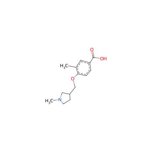 Cc1cc(C(=O)O)ccc1OCC1CCN(C)C1